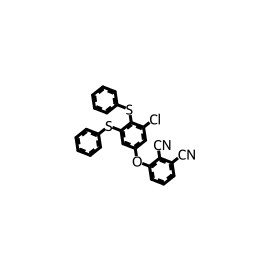 N#Cc1cccc(Oc2cc(Cl)c(Sc3ccccc3)c(Sc3ccccc3)c2)c1C#N